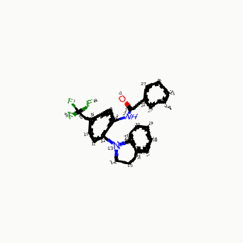 O=C(Nc1cc(C(F)(F)F)ccc1N1CCc2ccccc21)c1ccccc1